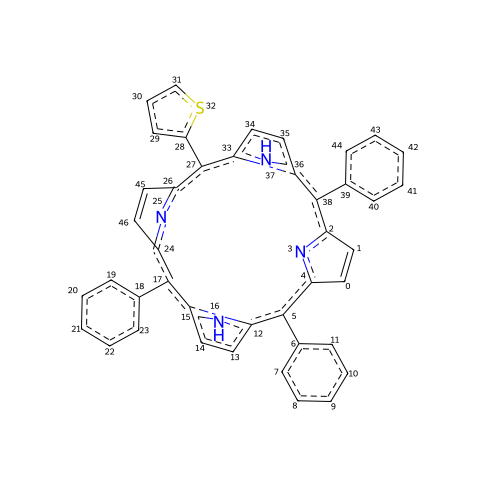 C1=Cc2nc1c(-c1ccccc1)c1ccc([nH]1)c(-c1ccccc1)c1nc(c(-c3cccs3)c3ccc([nH]3)c2-c2ccccc2)C=C1